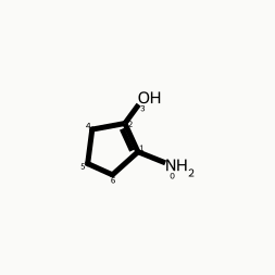 NC1=C(O)CCC1